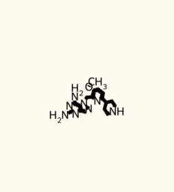 COc1ccc(C2CCNCC2)nc1Cn1ncc2nc(N)nc(N)c21